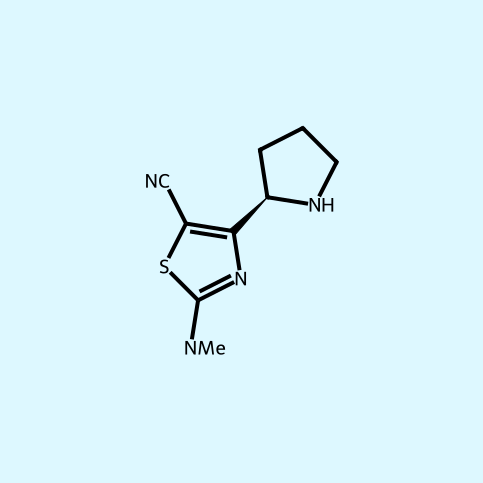 CNc1nc([C@H]2CCCN2)c(C#N)s1